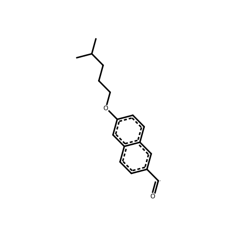 CC(C)CCCOc1ccc2cc([C]=O)ccc2c1